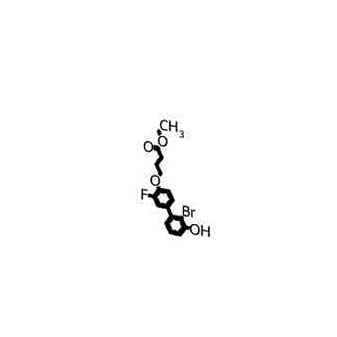 CCOC(=O)CCCOc1ccc(-c2cccc(O)c2Br)cc1F